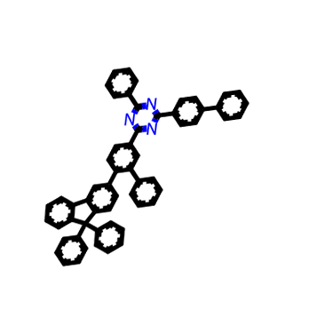 c1ccc(-c2ccc(-c3nc(-c4ccccc4)nc(-c4ccc(-c5ccc6c(c5)-c5ccccc5C6(c5ccccc5)c5ccccc5)c(-c5ccccc5)c4)n3)cc2)cc1